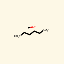 CO.O=C(O)CCCCC(=O)O